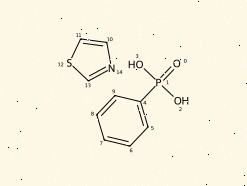 O=P(O)(O)c1ccccc1.c1cscn1